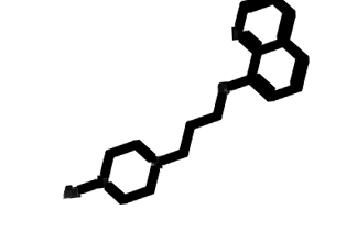 CC(=O)N1CCN(CCCOc2cccc3cccnc23)CC1